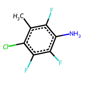 Cc1c(F)c(N)c(F)c(F)c1Cl